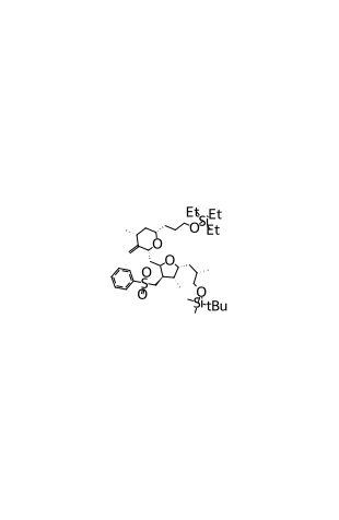 C=C1[C@H](C)C[C@H](CCCO[Si](CC)(CC)CC)O[C@@H]1CC1O[C@H](C[C@H](C)CO[Si](C)(C)C(C)(C)C)[C@H](C)[C@H]1CS(=O)(=O)c1ccccc1